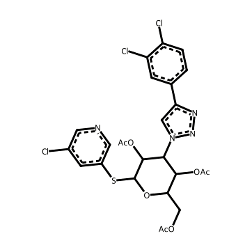 CC(=O)OCC1OC(Sc2cncc(Cl)c2)C(OC(C)=O)C(n2cc(-c3ccc(Cl)c(Cl)c3)nn2)C1OC(C)=O